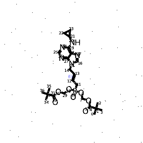 CC(C)(C)C(=O)OCOP(=O)(C/C=C/Cn1cnc2c(NC3CC3)ncnc21)OCOC(=O)C(C)(C)C